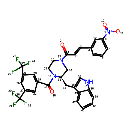 O=C(/C=C/c1cccc([N+](=O)[O-])c1)N1CCN(C(=O)c2cc(C(F)(F)F)cc(C(F)(F)F)c2)[C@H](Cc2c[nH]c3ccccc23)C1